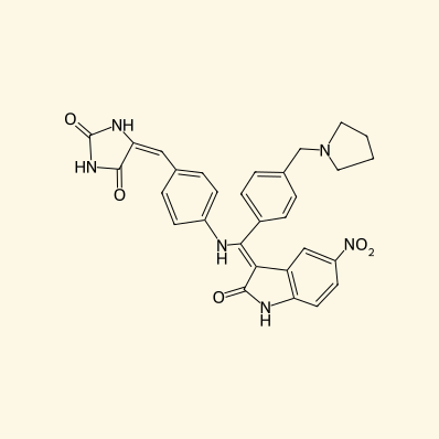 O=C1NC(=O)/C(=C\c2ccc(N/C(=C3\C(=O)Nc4ccc([N+](=O)[O-])cc43)c3ccc(CN4CCCC4)cc3)cc2)N1